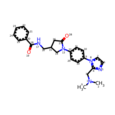 CN(C)Cc1nccn1-c1ccc(N2CC(CNC(=O)c3ccccc3)CC2=O)cc1